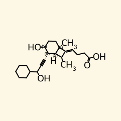 CC1C(=CCCC(=O)O)[C@]2(C)CC[C@H](O)[C@@H](C#CC(O)C3CCCCC3)[C@H]12